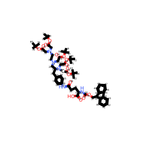 CC(C)(C)OC(=O)CN(CCN(CC(=O)OC(C)(C)C)CC(Cc1ccc(NC(=O)CCC(NC(=O)OCC2c3ccccc3-c3ccccc32)C(=O)O)cc1)N(CC(=O)OC(C)(C)C)CC(=O)OC(C)(C)C)CC(=O)OC(C)(C)C